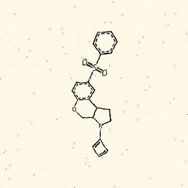 O=S(=O)(c1ccccc1)c1ccc2c(c1)C1CCN(C3=CC=C3)C1CO2